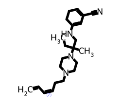 C=C/C=C\CCN1CCN(C(C)(CC)CNC2=CC(C#N)=CCC2)CC1